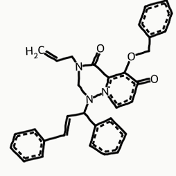 C=CCN1CN(C(/C=C/c2ccccc2)c2ccccc2)n2ccc(=O)c(OCc3ccccc3)c2C1=O